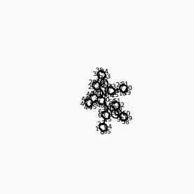 c1ccc(-c2ccc(N(c3cc(N(c4ccc(-c5ccccc5)cc4)c4cccc5c4oc4ccccc45)c4ccc5ccccc5c4c3)c3cccc4c3oc3ccccc34)cc2)cc1